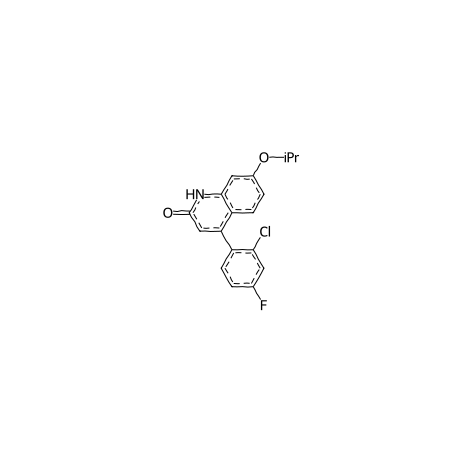 CC(C)Oc1ccc2c(-c3ccc(F)cc3Cl)cc(=O)[nH]c2c1